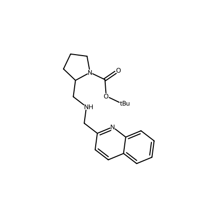 CC(C)(C)OC(=O)N1CCCC1CNCc1ccc2ccccc2n1